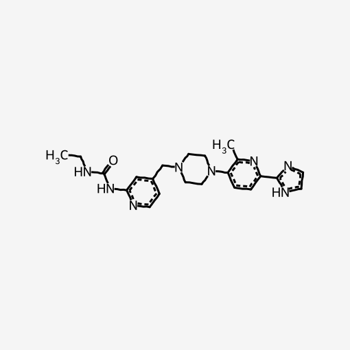 CCNC(=O)Nc1cc(CN2CCN(c3ccc(-c4ncc[nH]4)nc3C)CC2)ccn1